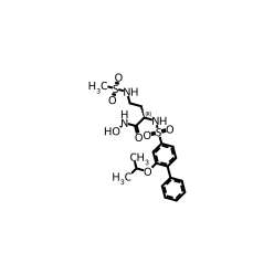 CC(C)Oc1cc(S(=O)(=O)N[C@H](CCNS(C)(=O)=O)C(=O)NO)ccc1-c1ccccc1